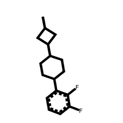 CC1CC(C2CCC(c3cccc(F)c3F)CC2)C1